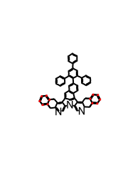 c1ccc(-c2cc(-c3ccccc3)c(-c3ccc4c(c3)cc3c5c6c(ncc5n5c7cnc8c(c7c4c35)C3c4ccccc4C8c4ccccc43)C3c4ccccc4C6c4ccccc43)c(-c3ccccc3)c2)cc1